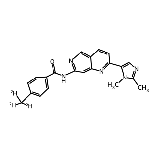 [2H]C([2H])([2H])c1ccc(C(=O)Nc2cc3nc(-c4cnc(C)n4C)ccc3cn2)cc1